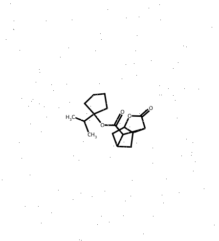 CC(C)C1(OC(=O)C2C3CC4OC(=O)C2C4C3)CCCC1